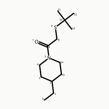 CCC1CCN(C(=O)CSC(C)(C)C)CC1